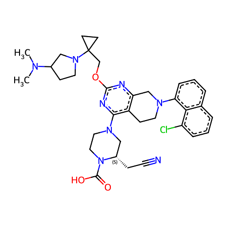 CN(C)C1CCN(C2(COc3nc4c(c(N5CCN(C(=O)O)[C@@H](CC#N)C5)n3)CCN(c3cccc5cccc(Cl)c35)C4)CC2)C1